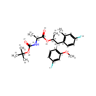 COc1cc(F)ccc1[C@@H](c1ccc(F)cc1C)[C@H](C)OC(=O)[C@H](C)NC(=O)OC(C)(C)C